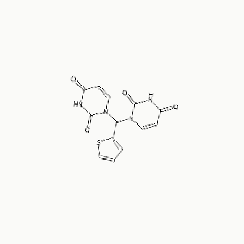 O=c1ccn(C(c2cccs2)n2ccc(=O)[nH]c2=O)c(=O)[nH]1